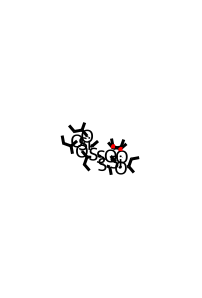 CCC(C)O[Si](OC(C)CC)(OC(C)CC)C(C)SSSC(C)[Si](OC(C)CC)(OC(C)CC)OC(C)CC